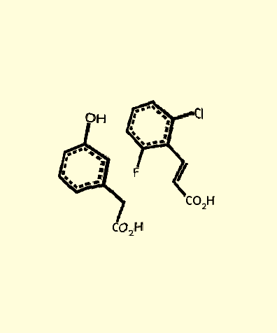 O=C(O)C=Cc1c(F)cccc1Cl.O=C(O)Cc1cccc(O)c1